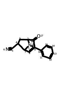 CN1C2CC(C#N)C1C=C(c1ccccc1)C2=O